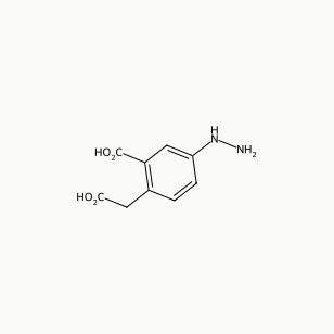 NNc1ccc(CC(=O)O)c(C(=O)O)c1